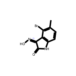 Cc1ccc2c(c1Br)/C(=N/O)C(=O)N2